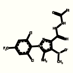 CCC(=O)NNC(=N)c1nn(-c2c(Cl)cc(C(F)(F)F)cc2Cl)c(N)c1[S+](C)[O-]